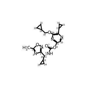 Cc1nc([C@H](NC(=O)Oc2cnc(C3CC3)c(OCC3CC3)n2)C2CC2)no1